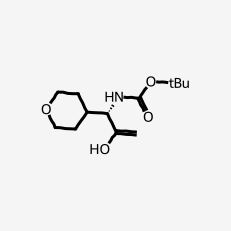 C=C(O)[C@@H](NC(=O)OC(C)(C)C)C1CCOCC1